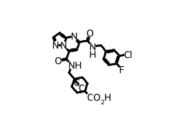 O=C(NCc1ccc(F)c(Cl)c1)c1cc(C(=O)NCC23CCC(C(=O)O)(CC2)CC3)n2nccc2n1